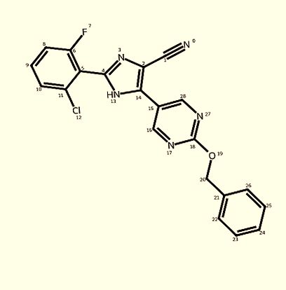 N#Cc1nc(-c2c(F)cccc2Cl)[nH]c1-c1cnc(OCc2ccccc2)nc1